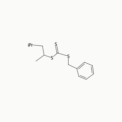 CC(C)CC(C)SC(=S)SCc1ccccc1